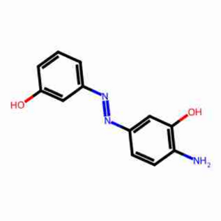 Nc1ccc(/N=N/c2cccc(O)c2)cc1O